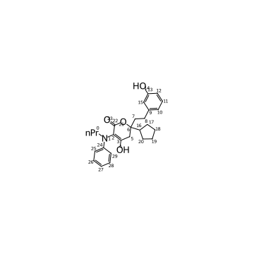 CCCN(C1=C(O)CC(CCc2cccc(O)c2)(C2CCCC2)OC1=O)c1ccccc1